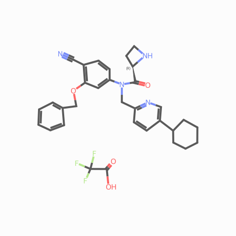 N#Cc1ccc(N(Cc2ccc(C3CCCCC3)cn2)C(=O)[C@H]2CCN2)cc1OCc1ccccc1.O=C(O)C(F)(F)F